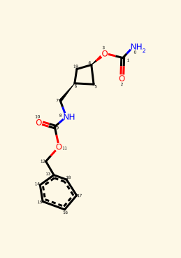 NC(=O)O[C@H]1C[C@@H](CNC(=O)OCc2ccccc2)C1